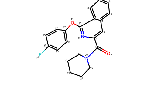 O=C(c1cc2ccccc2c(Oc2ccc(F)cc2)n1)N1CCCCC1